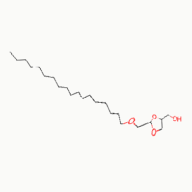 CCCCCCCCCCCCCCCCCCOCC1OCC(CO)O1